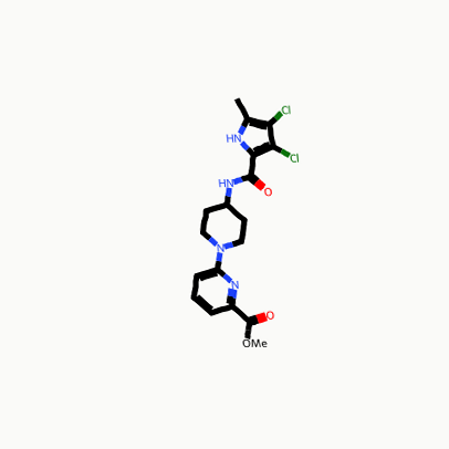 COC(=O)c1cccc(N2CCC(NC(=O)c3[nH]c(C)c(Cl)c3Cl)CC2)n1